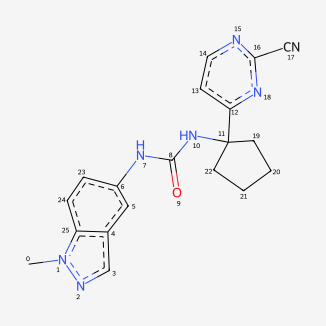 Cn1ncc2cc(NC(=O)NC3(c4ccnc(C#N)n4)CCCC3)ccc21